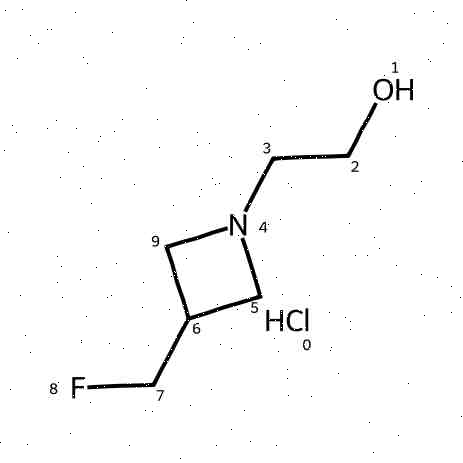 Cl.OCCN1CC(CF)C1